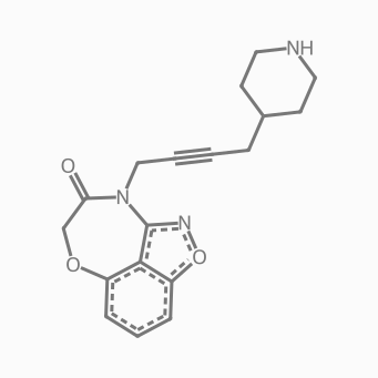 O=C1COc2cccc3onc(c23)N1CC#CCC1CCNCC1